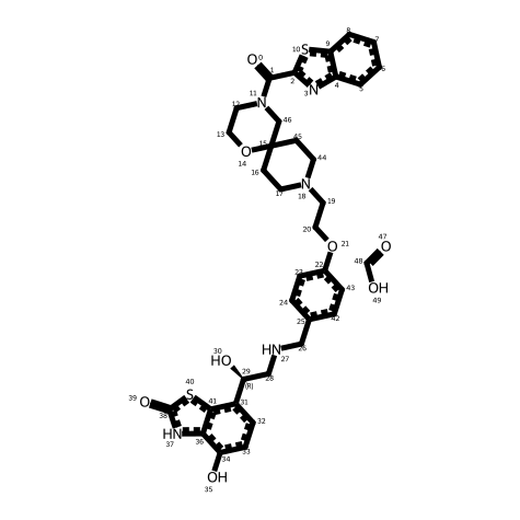 O=C(c1nc2ccccc2s1)N1CCOC2(CCN(CCOc3ccc(CNC[C@H](O)c4ccc(O)c5[nH]c(=O)sc45)cc3)CC2)C1.O=CO